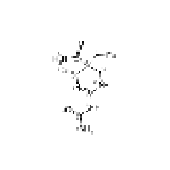 NC(=O)NC1=NC(=O)[C@@](CF)(C(N)=O)CN1